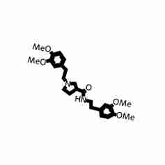 COc1ccc(CCNC(=O)C2CCN(CCc3ccc(OC)c(OC)c3)C2)cc1OC